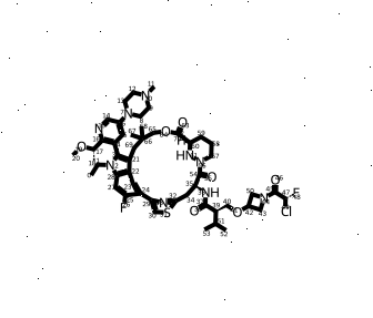 CCn1c(-c2cc(N3CCN(C)CC3)cnc2[C@H](C)OC)c2c3cc(c(F)cc31)-c1csc(n1)C[C@H](NC(=O)[C@@H](COC1CN(C(=O)[C@H](F)Cl)C1)C(C)C)C(=O)N1CCC[C@H](N1)C(=O)OCC(C)(C)C2